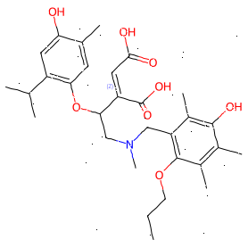 CCCOc1c(C)c(C)c(O)c(C)c1CN(C)CC(Oc1cc(C)c(O)cc1C(C)C)/C(=C/C(=O)O)C(=O)O